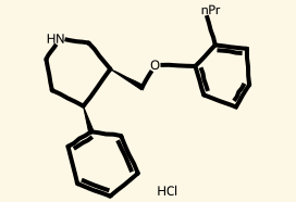 CCCc1ccccc1OC[C@@H]1CNCC[C@@H]1c1ccccc1.Cl